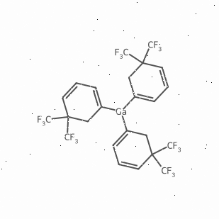 FC(F)(F)C1(C(F)(F)F)C=CC=[C]([Ga]([C]2=CC=CC(C(F)(F)F)(C(F)(F)F)C2)[C]2=CC=CC(C(F)(F)F)(C(F)(F)F)C2)C1